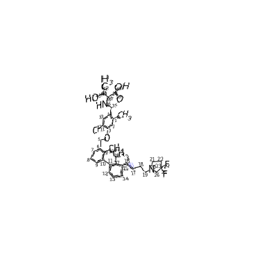 Cc1cc(OCc2cccc(-c3cccc(/C=C/CCN4CCC(F)(F)C4)c3C)c2C)c(Cl)cc1CN[C@H](C(=O)O)[C@@H](C)O